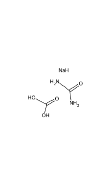 NC(N)=O.O=C(O)O.[NaH]